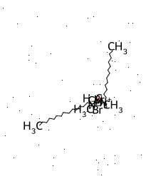 CCCCCCCCCCCCCC[N+](C)(C)CC(Br)(Br)[N+](C)(C)CCCCCCCCCCCCCC